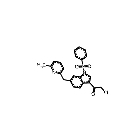 Cc1cccc(Cc2ccc3c(C(=O)CCl)cn(S(=O)(=O)c4ccccc4)c3c2)n1